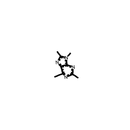 Cc1nc(C)c2nc(C)n(C)c2n1